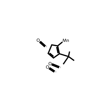 CC(C)(C)C1=[C]([Mn])CC=C1.[C]=O.[C]=O.[C]=O